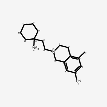 Cc1cc(C#N)cc2c1CCN(CCC1(N)CCCCC1)C2